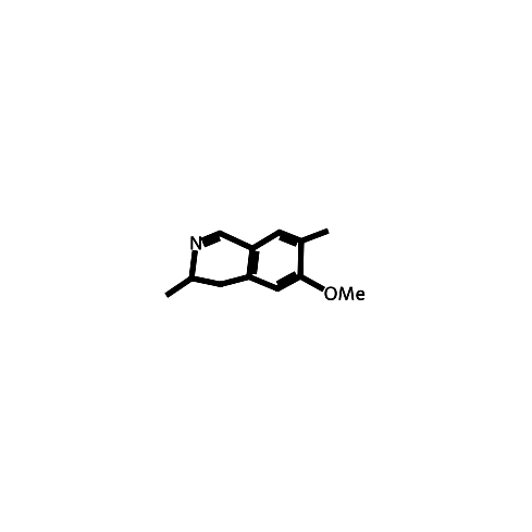 COc1cc2c(cc1C)C=NC(C)C2